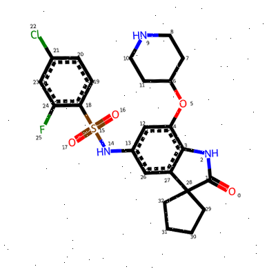 O=C1Nc2c(OC3CCNCC3)cc(NS(=O)(=O)c3ccc(Cl)cc3F)cc2C12CCCC2